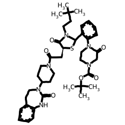 CC(C)(C)CCN1C(=O)[C@H](CC(=O)N2CCC(N3CCc4ccccc4NC3=O)CC2)SC1c1ccccc1N1CCN(C(=O)OC(C)(C)C)CC1=O